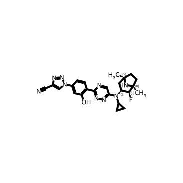 C[C@@]12CC[C@@](C)(N1)[C@@H](F)[C@@H](N(c1cnc(-c3ccc(-n4cc(C#N)nn4)cc3O)nn1)C1CC1)C2